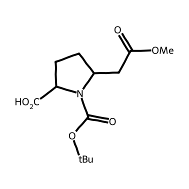 COC(=O)CC1CCC(C(=O)O)N1C(=O)OC(C)(C)C